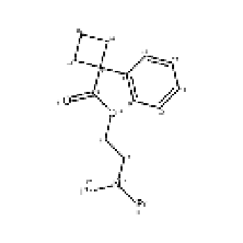 CC(C)N(CCOC(=O)C1(c2ccccc2)CCC1)C(C)C